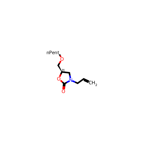 C=CCN1C[C@H](COCCCCC)OC1=O